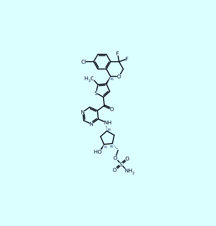 Cc1sc(C(=O)c2cncnc2N[C@@H]2C[C@H](COS(N)(=O)=O)[C@@H](O)C2)cc1[C@@H]1OCC(F)(F)c2ccc(Cl)cc21